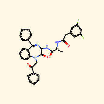 C[C@H](NC(=O)Cc1cc(F)cc(F)c1)C(=O)NC1N=C(c2ccccc2)c2ccccc2N(CC(=O)c2ccccc2)C1=O